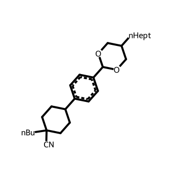 CCCCCCCC1COC(c2ccc(C3CCC(C#N)(CCCC)CC3)cc2)OC1